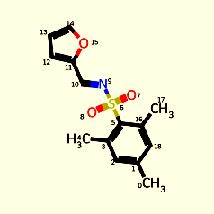 Cc1cc(C)c(S(=O)(=O)N=Cc2ccco2)c(C)c1